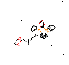 CC(C)P(C(C)C)[C]12[CH]3[CH]4[CH]5[CH]1[Fe]45321678[CH]2[CH]1[C]6(P(c1ccccc1)c1ccccc1)[C]7(P(c1ccccc1)c1ccccc1)[C]28CCCCC(C)(C)CCC1OCCCO1